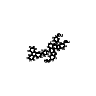 CC(C)(C)c1ccc(N2c3cccc4c3B(c3sc5ccc(C(C)(C)C)cc5c3N4c3ccc(-c4ccc5c6ccccc6c6ccccc6c5c4)cc3)c3sc4ccc(C(C)(C)C)cc4c32)cc1